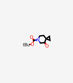 CC(C)(C)OC(=O)N1CCC2(CC2)C(=O)C1